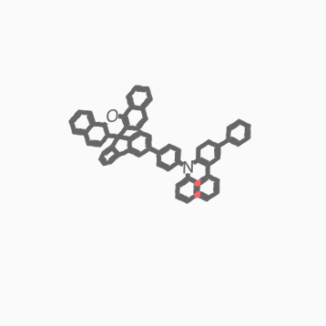 C1=CC2C(Oc3c(ccc4ccccc34)C23c2ccccc2-c2cc(-c4ccc(N(C5=C(c6ccccc6)C=C(c6ccccc6)CC5)c5ccccc5)cc4)ccc23)c2ccccc21